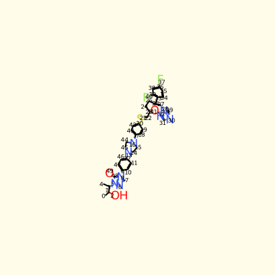 CC(O)C(C)n1ncn(-c2ccc(N3CCN(c4ccc(SCC5CCC(Cn6cncn6)(c6ccc(F)cc6F)O5)cc4)CC3)cc2)c1=O